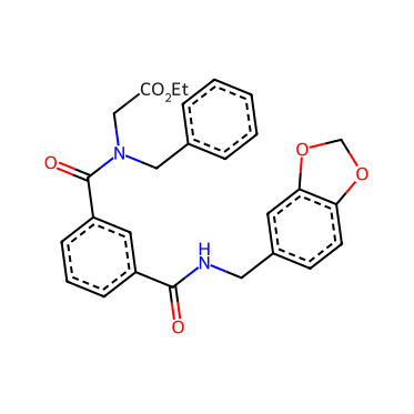 CCOC(=O)CN(Cc1ccccc1)C(=O)c1cccc(C(=O)NCc2ccc3c(c2)OCO3)c1